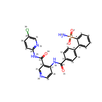 NS(=O)(=O)c1ccccc1-c1ccc(C(=O)Nc2ccncc2C(=O)Nc2ccc(Cl)cn2)cc1